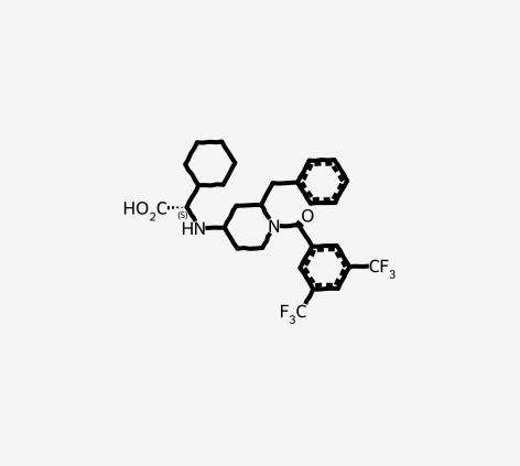 O=C(O)[C@@H](NC1CCN(C(=O)c2cc(C(F)(F)F)cc(C(F)(F)F)c2)C(Cc2ccccc2)C1)C1CCCCC1